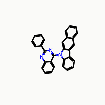 c1ccc(-c2nc(-n3c4ccccc4c4cc5ccccc5cc43)c3ccccc3n2)cc1